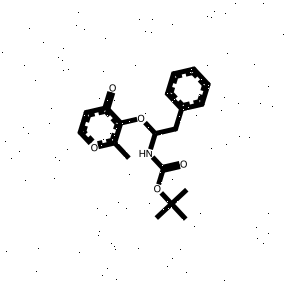 Cc1occc(=O)c1OC(Cc1ccccc1)NC(=O)OC(C)(C)C